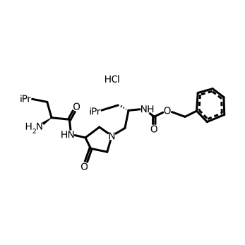 CC(C)C[C@@H](CN1CC(=O)C(NC(=O)[C@@H](N)CC(C)C)C1)NC(=O)OCc1ccccc1.Cl